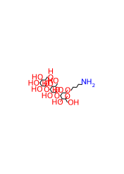 NCCCCCO[C@H]1OC(CO)[C@@H](O)C(O[C@H]2OC(CO)[C@@H](O)C(O[C@H]3OC(CO)[C@@H](O)C(O)C3O)C2O)C1O